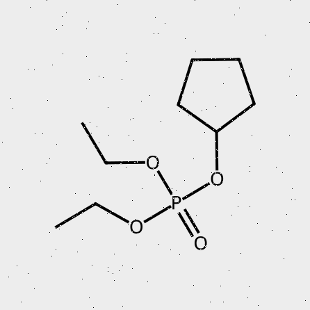 CCOP(=O)(OCC)OC1CCCC1